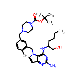 CCCC[C@@H](CO)Nc1nc(N)nc2ccn(Cc3cc(CN4CCN(C(=O)OC(C)(C)C)CC4)ccc3C)c12